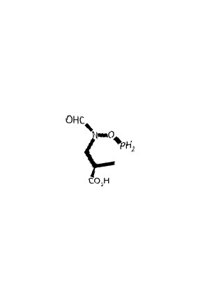 C[C@H](CN(C=O)OP)C(=O)O